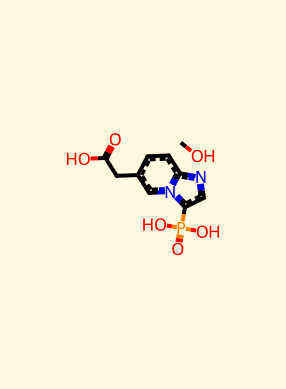 CO.O=C(O)Cc1ccc2ncc(P(=O)(O)O)n2c1